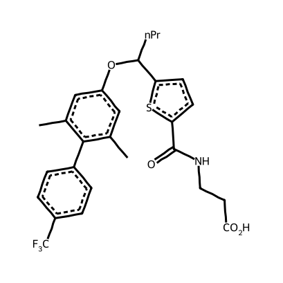 CCCC(Oc1cc(C)c(-c2ccc(C(F)(F)F)cc2)c(C)c1)c1ccc(C(=O)NCCC(=O)O)s1